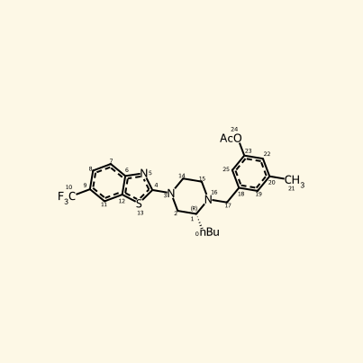 CCCC[C@@H]1CN(c2nc3ccc(C(F)(F)F)cc3s2)CCN1Cc1cc(C)cc(OC(C)=O)c1